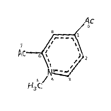 CC(=O)c1cc[n+](C)c(C(C)=O)c1